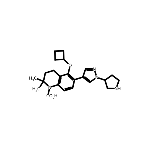 CC1(C)CCc2c(ccc(-c3cnn(C4CCNC4)c3)c2OC2CCC2)N1C(=O)O